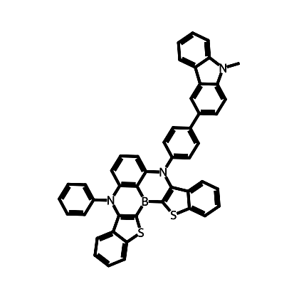 Cn1c2ccccc2c2cc(-c3ccc(N4c5cccc6c5B(c5sc7ccccc7c5N6c5ccccc5)c5sc6ccccc6c54)cc3)ccc21